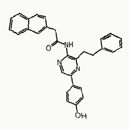 O=C(Cc1ccc2ccccc2c1)Nc1ncc(-c2ccc(O)cc2)nc1CCc1ccccc1